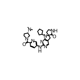 CN(C)[C@H]1CCN(C(=O)c2ccc(Nc3ncc4c(n3)N(C3CCCC3)C3(CCNC3=O)C4)cn2)C1